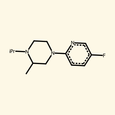 CC(C)N1CCN(c2ccc(F)cn2)CC1C